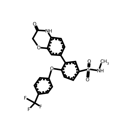 CNS(=O)(=O)c1ccc(Oc2ccc(C(F)(F)F)cc2)c(-c2ccc3c(c2)OCC(=O)N3)c1